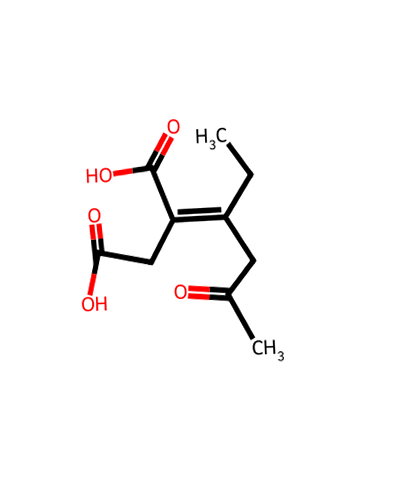 CCC(CC(C)=O)=C(CC(=O)O)C(=O)O